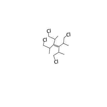 CC(CCl)C(=C(C(C)CCl)C(C)CCl)C(C)CCl